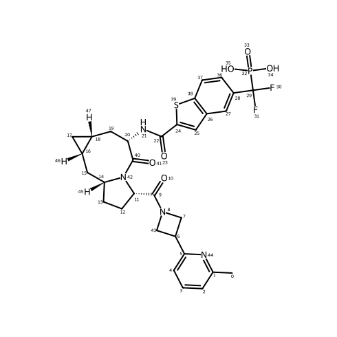 Cc1cccc(C2CN(C(=O)[C@@H]3CC[C@@H]4C[C@@H]5C[C@@H]5C[C@H](NC(=O)c5cc6cc(C(F)(F)P(=O)(O)O)ccc6s5)C(=O)N43)C2)n1